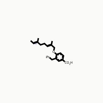 C/C=C(\C)CCC=C(C)COc1ccc(C(=O)O)cc1CC(C)C